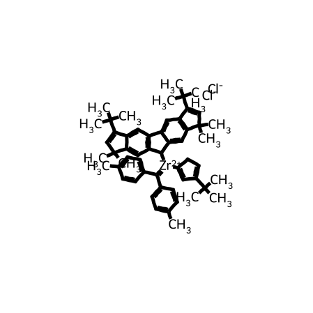 Cc1ccc([C](c2ccc(C)cc2)=[Zr+2]([C]2=CC(C(C)(C)C)=CC2)[CH]2c3cc4c(cc3-c3cc5c(cc32)C(C)(C)C=C5C(C)(C)C)C(C(C)(C)C)=CC4(C)C)cc1.[Cl-].[Cl-]